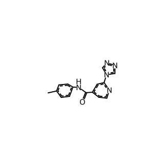 Cc1ccc(NC(=O)c2ccnc(-n3cnnc3)c2)cc1